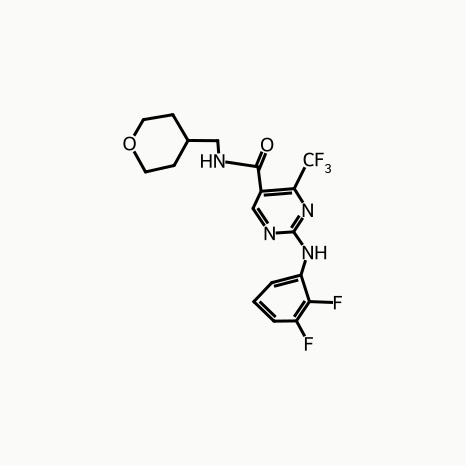 O=C(NCC1CCOCC1)c1cnc(Nc2cccc(F)c2F)nc1C(F)(F)F